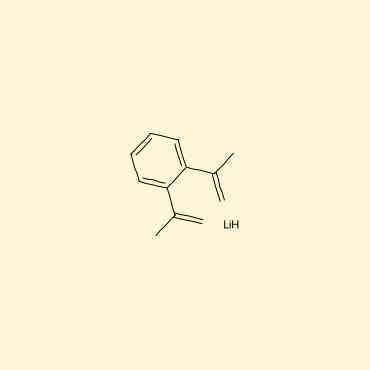 C=C(C)c1ccccc1C(=C)C.[LiH]